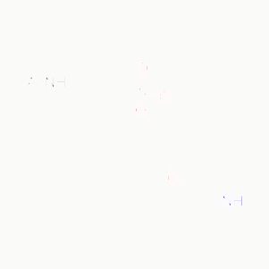 CC(=O)Nc1ccc(S(=O)(=O)Oc2ccc3c(c2)OC2CNCCC32)cc1